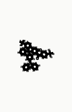 CC(C)(C)c1ccc2c(c1)C1(c3ccccc3-c3cc(-n4c5ccccc5c5ccccc54)ccc31)c1cc3c(=O)c4ccc(C(C)(C)C)cc4oc3cc1-2